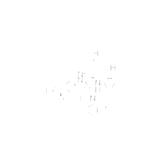 CCCC1=NN(c2ccc(C(=O)O)cc2)C(=O)C1=CNc1ccccc1CC.CCc1ccccc1N